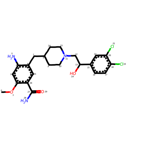 COc1cc(N)c(CC2CCN(CC(O)c3ccc(Cl)c(Cl)c3)CC2)cc1C(N)=O